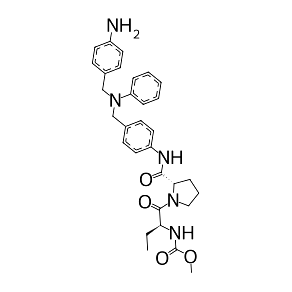 CC[C@H](NC(=O)OC)C(=O)N1CCC[C@H]1C(=O)Nc1ccc(CN(Cc2ccc(N)cc2)c2ccccc2)cc1